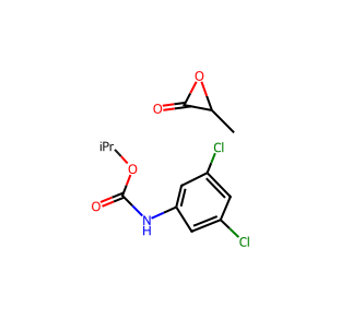 CC(C)OC(=O)Nc1cc(Cl)cc(Cl)c1.CC1OC1=O